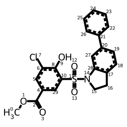 COC(=O)c1cc(Cl)c(O)c(S(=O)(=O)N2CCc3ccc(-c4ccccc4)cc32)c1